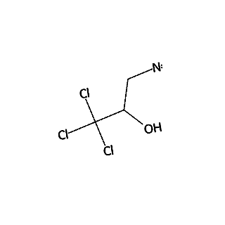 [N]CC(O)C(Cl)(Cl)Cl